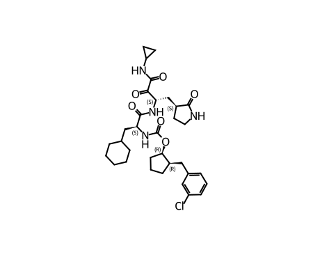 O=C(N[C@@H](CC1CCCCC1)C(=O)N[C@@H](C[C@@H]1CCNC1=O)C(=O)C(=O)NC1CC1)O[C@@H]1CCC[C@@H]1Cc1cccc(Cl)c1